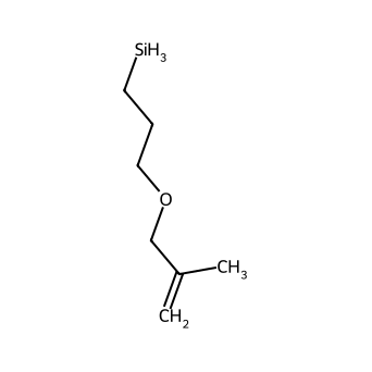 C=C(C)COCCC[SiH3]